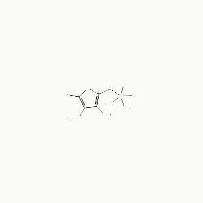 CCCCP(Br)(CCCC)(CCCC)Cc1sc(C)c(SC)c1SC